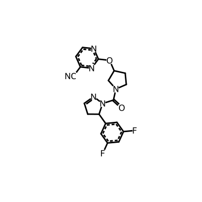 N#Cc1ccnc(OC2CCN(C(=O)N3N=CCC3c3cc(F)cc(F)c3)C2)n1